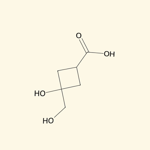 O=C(O)C1CC(O)(CO)C1